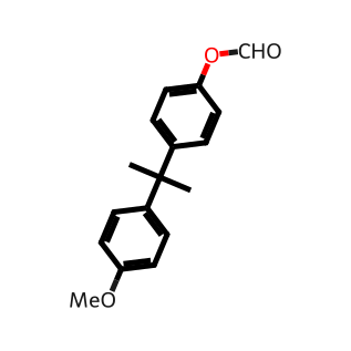 COc1ccc(C(C)(C)c2ccc(OC=O)cc2)cc1